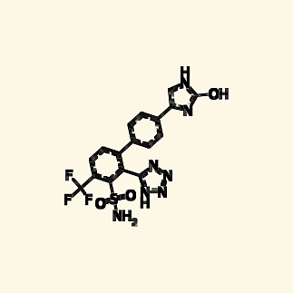 NS(=O)(=O)c1c(C(F)(F)F)ccc(-c2ccc(-c3c[nH]c(O)n3)cc2)c1-c1nnn[nH]1